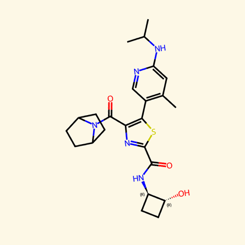 Cc1cc(NC(C)C)ncc1-c1sc(C(=O)N[C@@H]2CC[C@H]2O)nc1C(=O)N1C2CCC1CC2